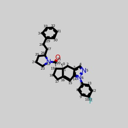 C[C@]12Cc3cnn(-c4ccc(F)cc4)c3C=C1CC[C@@H]2C(=O)N1CCCC1CCc1ccccc1